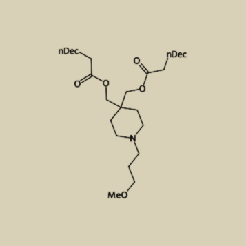 CCCCCCCCCCCC(=O)OCC1(COC(=O)CCCCCCCCCCC)CCN(CCCOC)CC1